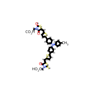 Cc1ccc(N(c2ccc(-c3ccc(/C=C4\SC(=S)N(CC(=O)O)C4=O)s3)cc2)c2ccc(-c3ccc(/C=C4/SC(=O)N(CC(=O)O)C4=O)s3)cc2)cc1